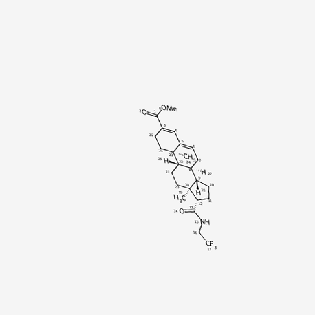 COC(=O)C1=CC2=CC[C@H]3[C@@H]4CC[C@H](C(=O)NCC(F)(F)F)[C@@]4(C)CC[C@@H]3[C@@]2(C)CC1